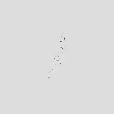 Cc1c(C(=O)Nc2ccc(N3CCC(N4CCC(=O)CC4)CC3)c(C#N)c2)cnn1-c1ccc(Cl)cc1.O